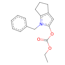 CCOC(=O)Oc1cc2c(n1Cc1ccccc1)CCC2